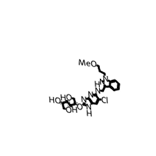 COCCCn1nc(CNc2nc3nc(O[C@@H]4CO[C@H]5[C@@H]4OC[C@H]5O)[nH]c3cc2Cl)c2ccccc21